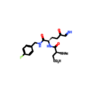 CC(=O)N[C@@H](CC(=O)O)C(=O)N[C@@H](CCC(=O)C=N)C(=O)NCc1ccc(F)cc1